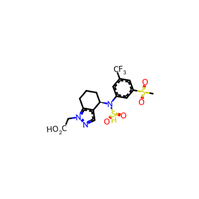 CS(=O)(=O)c1cc(N([C@@H]2CCCc3c2cnn3CC(=O)O)[SH](=O)=O)cc(C(F)(F)F)c1